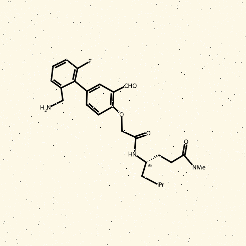 CNC(=O)CC[C@H](CC(C)C)NC(=O)COc1ccc(-c2c(F)cccc2CN)cc1C=O